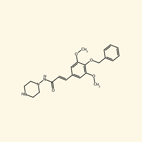 COc1cc(/C=C/C(=O)NN2CCNCC2)cc(OC)c1OCc1ccccc1